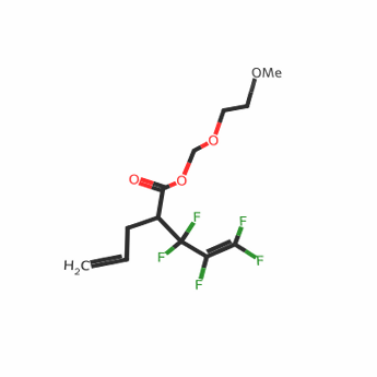 C=CCC(C(=O)OCOCCOC)C(F)(F)C(F)=C(F)F